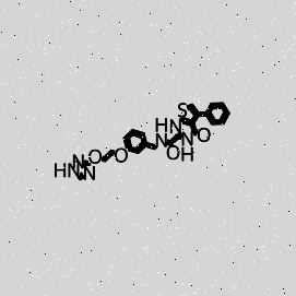 O=C(NCc1cccc(OCCOc2nc[nH]n2)c1)c1nc2scc(-c3ccccc3)c2c(=O)[nH]1